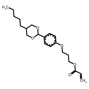 C=CC(=O)OCCCOc1ccc(C2OCC(CCCCC)CO2)cc1